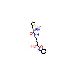 CC(C)N[C@@H](Cc1cccs1)C(=O)NCCCC[C@H](O)c1nc2ccccc2o1